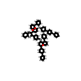 c1ccc(-c2ccc(-c3ccc(N(c4ccc(-c5nc6ccccc6nc5-c5ccc(N(c6ccc(-c7ccc(-c8ccccc8)cc7)cc6)c6ccccc6-c6ccccc6)cc5)cc4)c4ccccc4-c4ccccc4)cc3)cc2)cc1